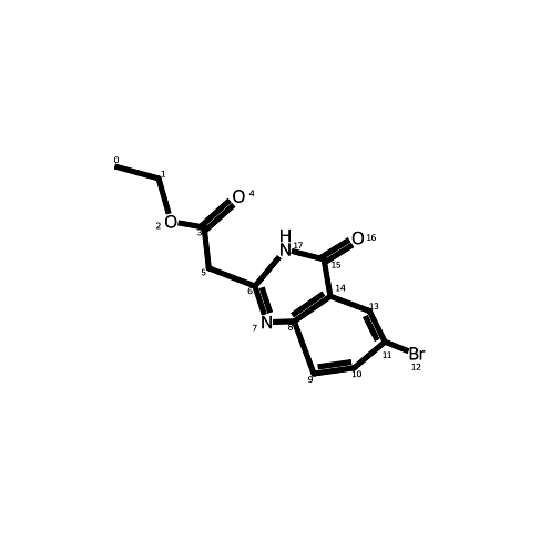 CCOC(=O)Cc1nc2ccc(Br)cc2c(=O)[nH]1